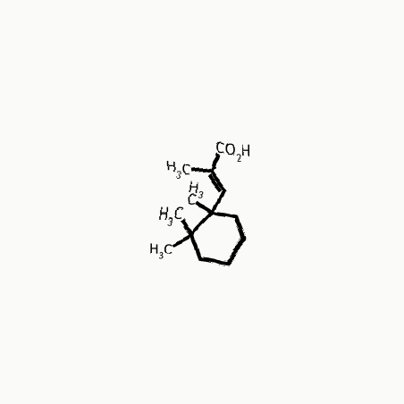 C/C(=C\C1(C)CCCCC1(C)C)C(=O)O